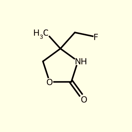 CC1(CF)COC(=O)N1